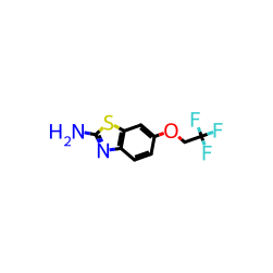 Nc1nc2ccc(OCC(F)(F)F)cc2s1